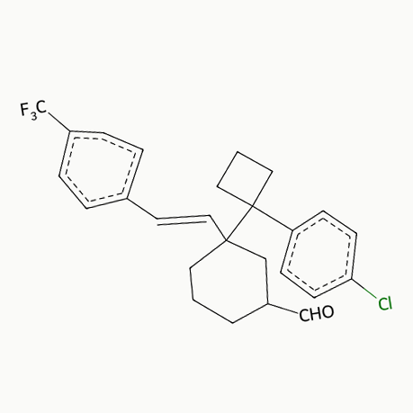 O=CC1CCCC(C=Cc2ccc(C(F)(F)F)cc2)(C2(c3ccc(Cl)cc3)CCC2)C1